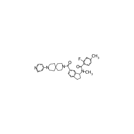 Cc1ccc(C(=O)N(C)C2CCc3ccc(C(=O)N4CCC5(CC4)CCN(c4ccncc4)CC5)cc32)c(F)c1